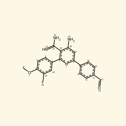 COc1ccc(-c2nc(-c3ccc(C=O)cc3)cc(N)c2C(=N)N)cc1F